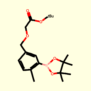 Cc1ccc(COCC(=O)OC(C)(C)C)cc1B1OC(C)(C)C(C)(C)O1